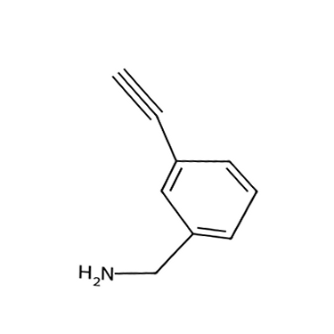 C#Cc1cccc(CN)c1